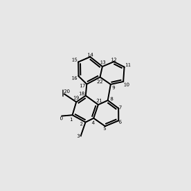 Cc1c(C)c2cccc3c4cccc5cccc(c(c1I)c23)c54